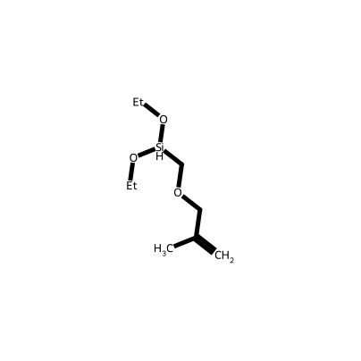 C=C(C)COC[SiH](OCC)OCC